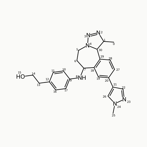 CC1N=NN2CCC(Nc3ccc(CCO)cc3)c3cc(-c4cnn(C)c4)ccc3C12